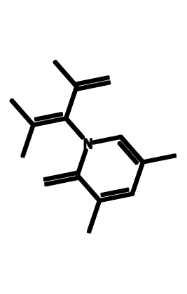 C=C(C)C(=C(C)C)N1C=C(C)C=C(C)C1=C